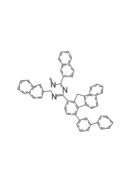 C=N/C(=N\C(=N/Cc1ccc2ccccc2c1)c1ccc(-c2cccc(-c3ccccc3)c2)c2c1Cc1c-2ccc2ccccc12)c1ccc2ccccc2c1